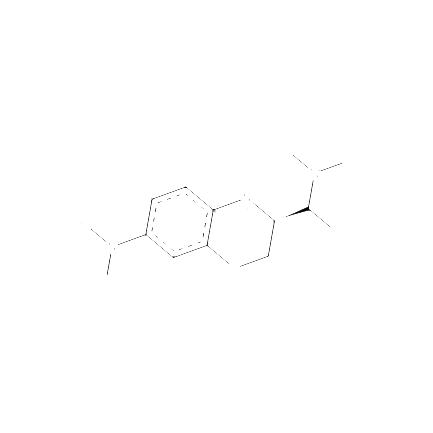 CC([C@H]1CSc2cc(N(C)C)ccc2N1)N(C)C